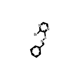 Brc1nccnc1S/N=C/c1ccccc1